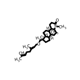 CC(C)=CCC/C(C)=C/COCC1CC[C@H]2[C@@H]3CCC4N(C)C(=O)CC[C@]4(C)[C@@H]3CC[C@]12C